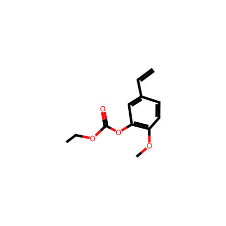 C=Cc1ccc(OC)c(OC(=O)OCC)c1